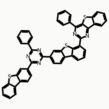 c1ccc(-c2nc(-c3ccc4c(c3)sc3ccccc34)nc(-c3ccc4c(c3)sc3c(-c5nc(-c6ccccc6)c6sc7ccccc7c6n5)cccc34)n2)cc1